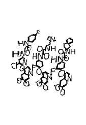 COc1cc2nccc(Oc3ccc(NC(=O)C(=O)NC4CCc5ccccc5C4)cc3F)c2cc1OC.COc1cc2nccc(Oc3ccc(NC(=O)C(=O)NCCC4CCCN4C)cc3F)c2cc1OC.COc1cc2nccc(Oc3ncc(NC(=O)CC(=O)Nc4ccc(F)cc4)cc3Cl)c2cc1OC